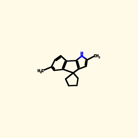 Cc1ccc2c(c1)C1(CCCC1)c1cc(C)[nH]c1-2